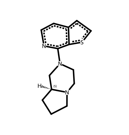 c1cc2ccsc2c(N2CCN3CCC[C@H]3C2)n1